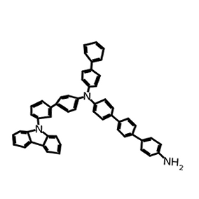 Nc1ccc(-c2ccc(-c3ccc(N(c4ccc(-c5ccccc5)cc4)c4ccc(-c5cccc(-n6c7ccccc7c7ccccc76)c5)cc4)cc3)cc2)cc1